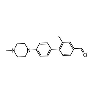 Cc1cc(C=O)ccc1-c1ccc(N2CCN(C)CC2)cc1